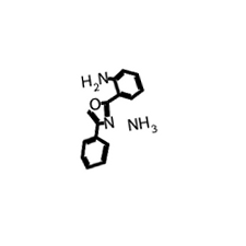 N.Nc1ccccc1-c1nc(-c2ccccc2)co1